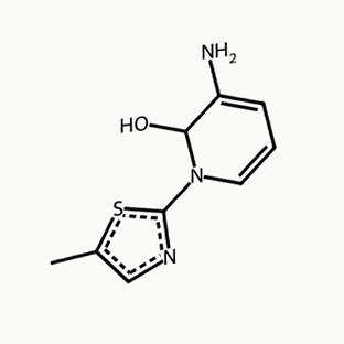 Cc1cnc(N2C=CC=C(N)C2O)s1